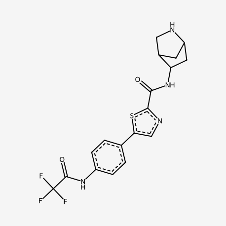 O=C(NC1CC2CC1CN2)c1ncc(-c2ccc(NC(=O)C(F)(F)F)cc2)s1